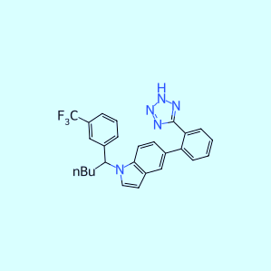 CCCCC(c1cccc(C(F)(F)F)c1)n1ccc2cc(-c3ccccc3-c3nn[nH]n3)ccc21